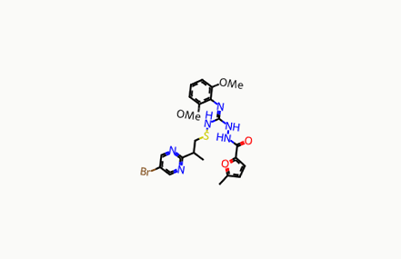 COc1cccc(OC)c1/N=C(/NNC(=O)c1ccc(C)o1)NSCC(C)c1ncc(Br)cn1